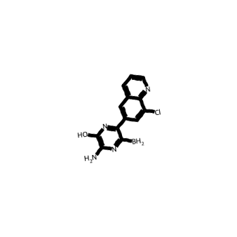 Bc1nc(N)c(O)nc1-c1cc(Cl)c2ncccc2c1